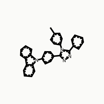 Cc1ccc(-n2c(-c3ccccc3)nnc2-c2ccc(-n3c4ccccc4c4ccccc43)cc2)cc1